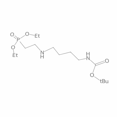 CCOP(=O)(CCNCCCCNC(=O)OC(C)(C)C)OCC